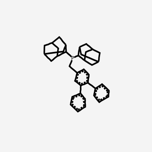 c1ccc(-c2ccc(CP(C3C4CC5CC(C4)CC3C5)C3C4CC5CC(C4)CC3C5)cc2-c2ccccc2)cc1